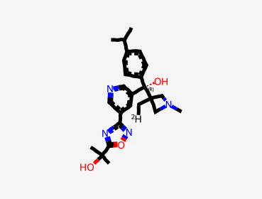 [2H]CC1([C@](O)(c2ccc(C(C)C)cc2)c2cncc(-c3noc(C(C)(C)O)n3)c2)CN(C)C1